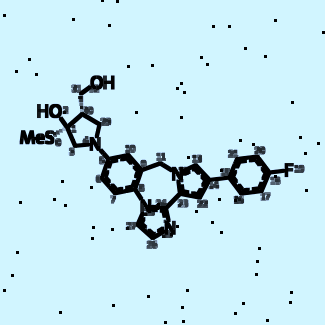 CS[C@@]1(O)CN(c2ccc3c(c2)Cn2cc(-c4ccc(F)cc4)cc2-c2nccn2-3)C[C@H]1CO